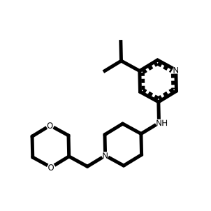 CC(C)c1cncc(NC2CCN(CC3COCCO3)CC2)c1